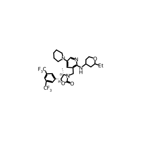 CCC1CC(Nc2ncc(N3CCCCC3)cc2CN2C(=O)O[C@H](c3cc(C(F)(F)F)cc(C(F)(F)F)c3)[C@@H]2C)CCO1